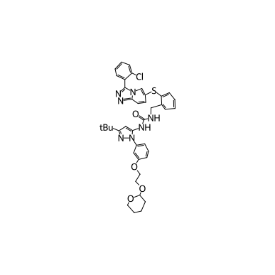 CC(C)(C)c1cc(NC(=O)NCc2ccccc2Sc2ccc3nnc(-c4ccccc4Cl)n3c2)n(-c2cccc(OCCOC3CCCCO3)c2)n1